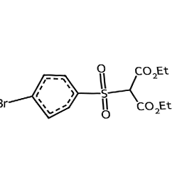 CCOC(=O)C(C(=O)OCC)S(=O)(=O)c1ccc(Br)cc1